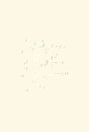 CC(OC(F)(C(F)C(F)(C(F)(F)F)C(F)(F)F)C(F)(F)F)C(F)(F)C(F)F